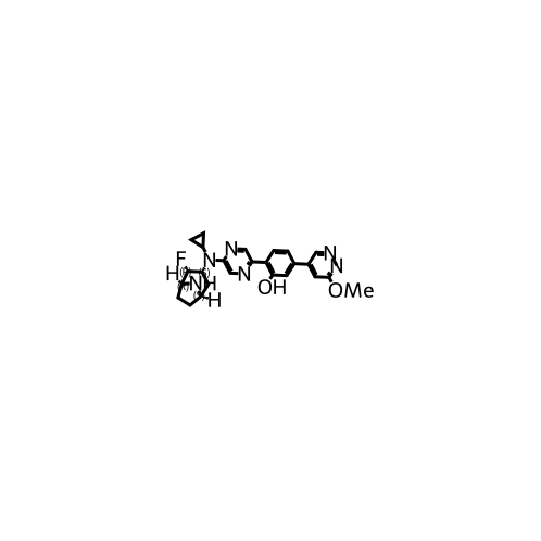 COc1cc(-c2ccc(-c3cnc(N(C4CC4)[C@H]4C[C@@H]5CC[C@@H](N5)[C@H]4F)cn3)c(O)c2)cnn1